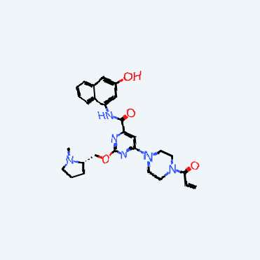 C=CC(=O)N1CCN(c2cc(C(=O)Nc3cc(O)cc4ccccc34)nc(OC[C@@H]3CCCN3C)n2)CC1